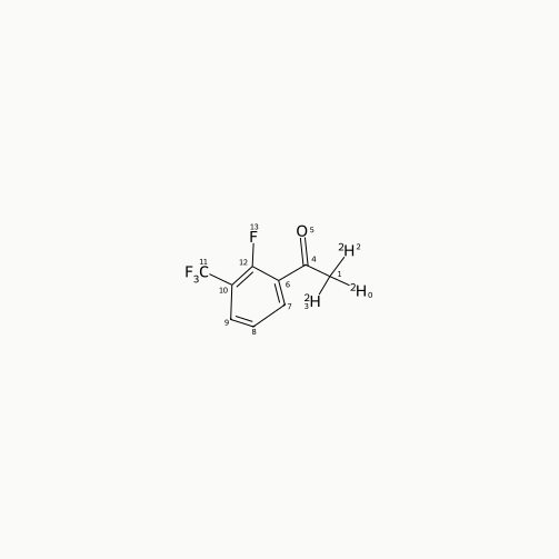 [2H]C([2H])([2H])C(=O)c1cccc(C(F)(F)F)c1F